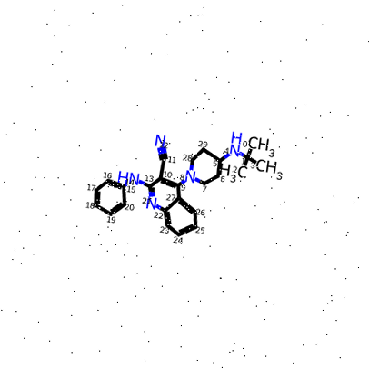 CC(C)(C)NC1CCN(c2c(C#N)c(Nc3ccccc3)nc3ccccc23)CC1